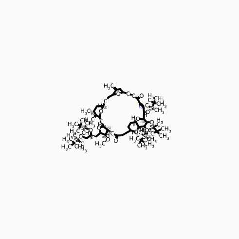 C=C1CC2CCC(=O)/C=C/C(O[Si](C)(C)C(C)(C)C)[C@@H]3O[C@H]4CCC(CC(=O)C[C@H]5[C@H](CC6O[C@@H](CCC1O2)C[C@@H](C)C6=C)OC(C[C@@H](CO[Si](C)(C)C(C)(C)C)O[Si](C)(C)C(C)(C)C)[C@@H]5OC)O[C@@H]4C(O[Si](C)(C)C(C)(C)C)C3O[Si](C)(C)C(C)(C)C